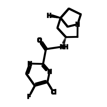 O=C(N[C@@H]1C[C@@H]2CCN(C2)C1)c1ncc(F)c(Cl)n1